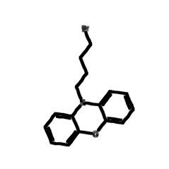 BrCCCCN1c2ccccc2Oc2ccccc21